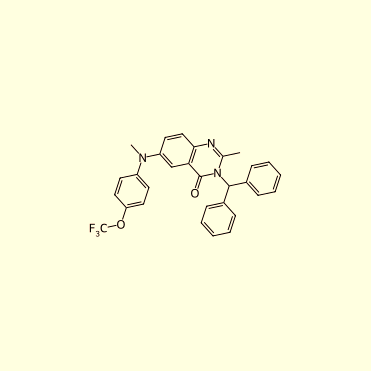 Cc1nc2ccc(N(C)c3ccc(OC(F)(F)F)cc3)cc2c(=O)n1C(c1ccccc1)c1ccccc1